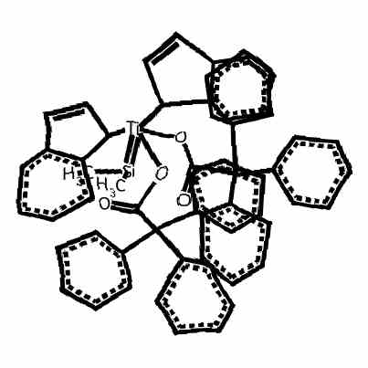 C[Si](C)=[Ti]([O]C(=O)C(c1ccccc1)(c1ccccc1)c1ccccc1)([O]C(=O)C(c1ccccc1)(c1ccccc1)c1ccccc1)([CH]1C=Cc2ccccc21)[CH]1C=Cc2ccccc21